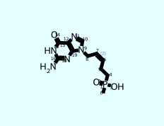 CP(=O)(O)CC/C=C\Cn1cnc2c(=O)[nH]c(N)nc21